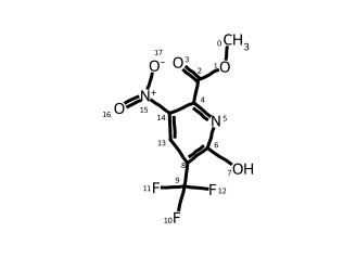 COC(=O)c1nc(O)c(C(F)(F)F)cc1[N+](=O)[O-]